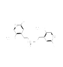 COc1cnc(Cl)cc1CO[PH](=O)OCc1cc(Cl)ncc1OC